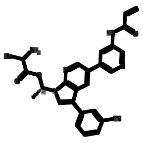 C=CC(=O)Nc1cncc(-c2cnc3c(c2)c(-c2cccc(C#N)c2)cn3[C@H](C)OC(=O)C(N)C(C)CC)c1